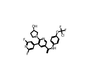 C=C(Nc1ccc(OC(F)(F)Cl)cc1)c1cnc(N2CC[C@@H](O)C2)c(-c2cc(F)nc(F)c2)c1